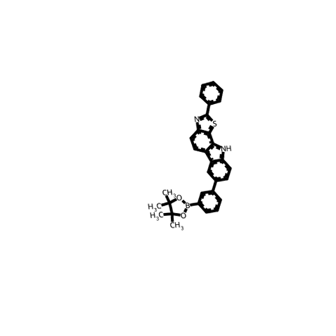 CC1(C)OB(c2cccc(-c3ccc4[nH]c5c(ccc6nc(-c7ccccc7)sc65)c4c3)c2)OC1(C)C